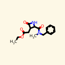 CCOC(=O)CC1C(=O)NC1C(=O)N(C)Cc1ccccc1